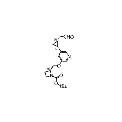 CC(C)(C)OC(=O)N1CC[C@H]1COc1cncc([C@H]2C[C@@H]2CC=O)c1